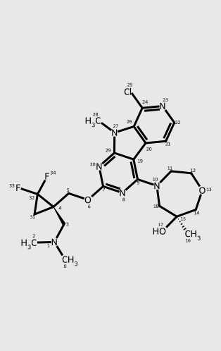 CN(C)C[C@@]1(COc2nc(N3CCOC[C@@](C)(O)C3)c3c4ccnc(Cl)c4n(C)c3n2)CC1(F)F